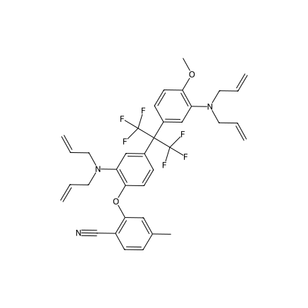 C=CCN(CC=C)c1cc(C(c2ccc(Oc3cc(C)ccc3C#N)c(N(CC=C)CC=C)c2)(C(F)(F)F)C(F)(F)F)ccc1OC